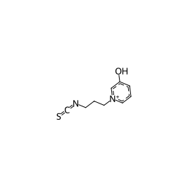 Oc1ccc[n+](CCCN=C=S)c1